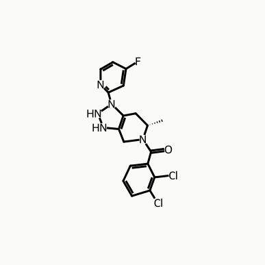 C[C@H]1CC2=C(CN1C(=O)c1cccc(Cl)c1Cl)NNN2c1cc(F)ccn1